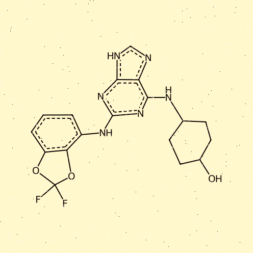 OC1CCC(Nc2nc(Nc3cccc4c3OC(F)(F)O4)nc3[nH]cnc23)CC1